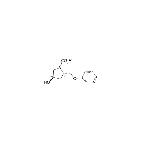 O=C(O)N1C[C@H](O)C[C@H]1COc1ccccc1